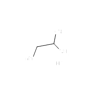 CCCCC(N)C#N.Cl